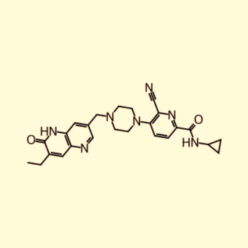 CCc1cc2ncc(CN3CCN(c4ccc(C(=O)NC5CC5)nc4C#N)CC3)cc2[nH]c1=O